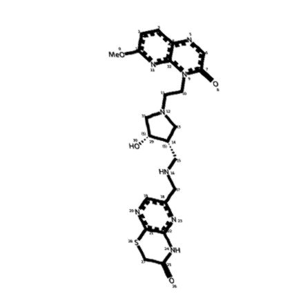 COc1ccc2ncc(=O)n(CCN3C[C@H](CNCc4cnc5c(n4)NC(=O)CS5)[C@H](O)C3)c2n1